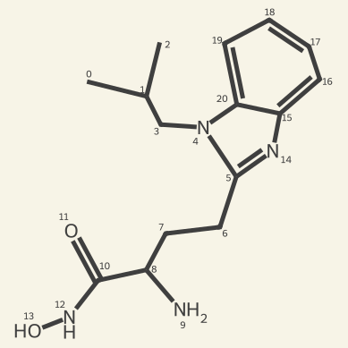 CC(C)Cn1c(CCC(N)C(=O)NO)nc2ccccc21